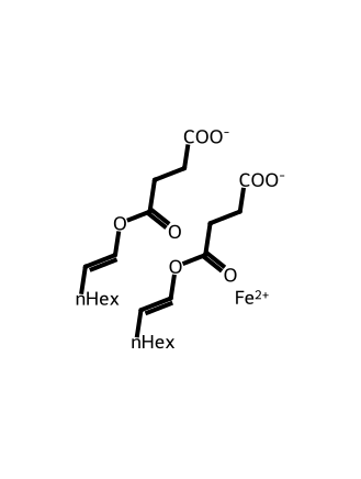 CCCCCCC=COC(=O)CCC(=O)[O-].CCCCCCC=COC(=O)CCC(=O)[O-].[Fe+2]